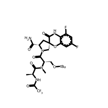 C[C@H](NC(=O)C(F)(F)F)C(=O)N(C)[C@@H](COC(C)(C)C)C(=O)N1C[C@@]2(C[C@H]1C(N)=O)Oc1cc(F)cc(F)c1NC2=O